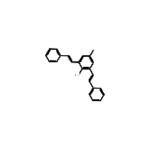 Cc1cc(/C=C/c2ccccc2)c(O)c(/C=C/c2ccccc2)c1